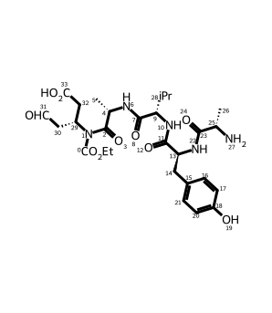 CCOC(=O)N(C(=O)[C@H](C)NC(=O)[C@@H](NC(=O)[C@H](Cc1ccc(O)cc1)NC(=O)[C@H](C)N)C(C)C)[C@H](CC=O)CC(=O)O